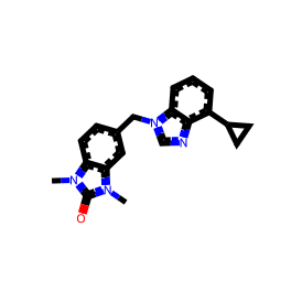 Cn1c(=O)n(C)c2cc(Cn3cnc4c(C5CC5)cccc43)ccc21